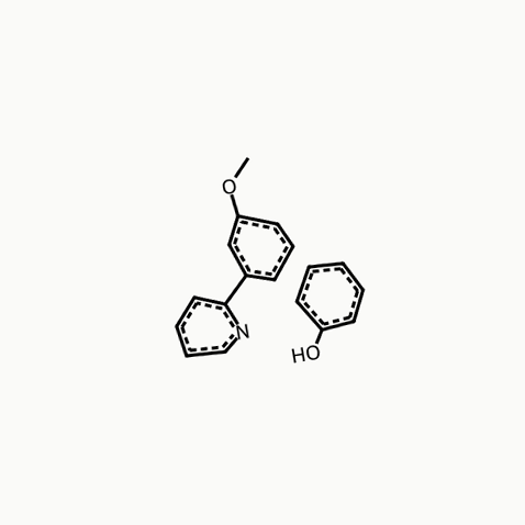 COc1cccc(-c2ccccn2)c1.Oc1ccccc1